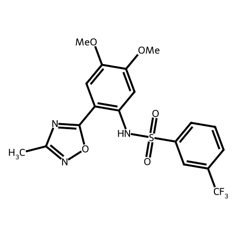 COc1cc(NS(=O)(=O)c2cccc(C(F)(F)F)c2)c(-c2nc(C)no2)cc1OC